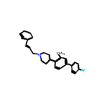 Cc1cc(-c2ccc(F)cc2)ccc1C1CCN(CC=Cc2ccccc2)CC1